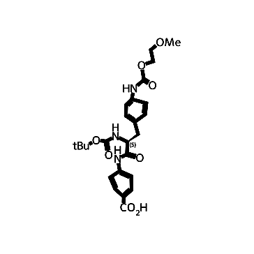 COCCOC(=O)Nc1ccc(C[C@H](NC(=O)OC(C)(C)C)C(=O)Nc2ccc(C(=O)O)cc2)cc1